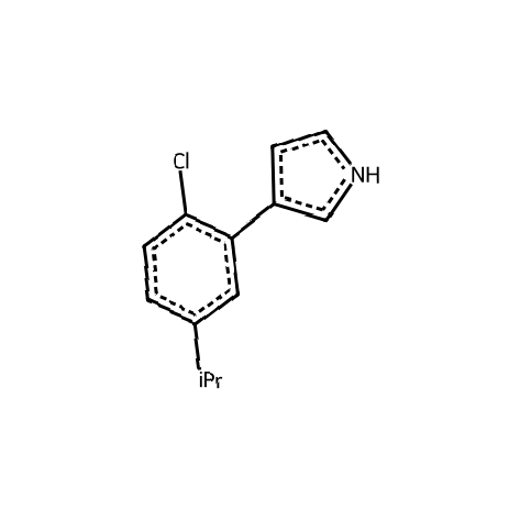 CC(C)c1ccc(Cl)c(-c2cc[nH]c2)c1